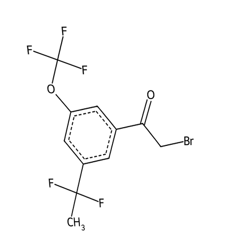 CC(F)(F)c1cc(OC(F)(F)F)cc(C(=O)CBr)c1